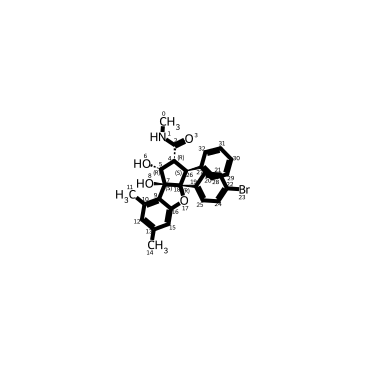 CNC(=O)[C@H]1[C@@H](O)[C@@]2(O)c3c(C)cc(C)cc3O[C@@]2(c2ccc(Br)cc2)[C@@H]1c1ccccc1